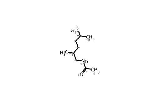 CC(=O)NCC(C)CCC(C)C